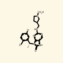 C[C@H](c1cc(Cl)ccc1Cl)n1c(=O)[nH]c2cnc(NCC3CCN(C(=O)O)C3)nc21